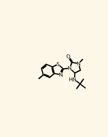 Cc1ccc2sc(N3C(=O)N(C)CC3NC(C)(C)C)nc2c1